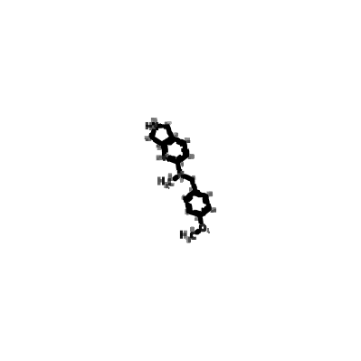 COc1ccc(CN(C)c2ccc3c(n2)CNC3)cc1